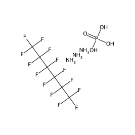 FC(F)(F)C(F)(F)C(F)(F)C(F)(F)C(F)(F)C(F)(F)F.N.N.N.O=P(O)(O)O